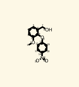 COc1cccc(CO)c1Oc1ccc([N+](=O)[O-])cc1